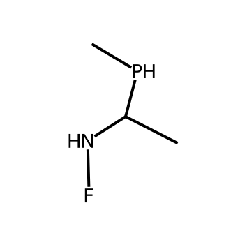 CPC(C)NF